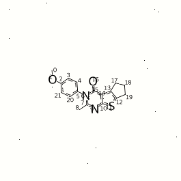 COc1ccc(-n2c(C)nc3sc4c(c3c2=O)CCC4)cc1